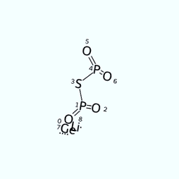 O=P(=O)SP(=O)=O.[Ge].[Li]